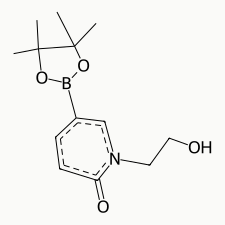 CC1(C)OB(c2ccc(=O)n(CCO)c2)OC1(C)C